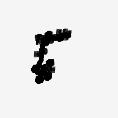 Cc1ncsc1C1CCC(CNC(=O)[C@@H]2CCCN2C(=O)[C@@H](NC(=O)CCCC(=O)NCCCC#CC2CCCC(Cn3c(C4CCCCC4)c(C4CCCCC4)c4c(=N)n(C5CCCCC5)cnc43)C2)C(C)(C)C)CC1